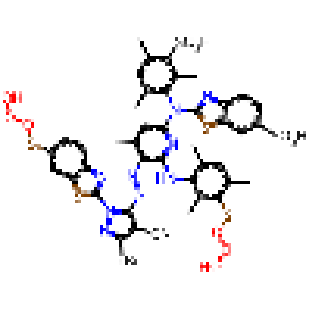 Cc1cc(N(c2nc3ccc(S(=O)(=O)O)cc3s2)c2c(C)cc(C)c(S(=O)(=O)O)c2C)nc(Nc2c(C)cc(C)c(SOOO)c2C)c1/N=N/c1c(C#N)c(C(C)(C)C)nn1-c1nc2ccc(SOOO)cc2s1